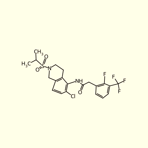 CC(C)S(=O)(=O)N1CCc2c(ccc(Cl)c2NC(=O)Cc2cccc(C(F)(F)F)c2F)C1